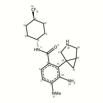 CNc1ccc(C(=O)N[C@H]2CC[C@H](C(F)(F)F)CC2)c(C23CNCC2C3)c1N